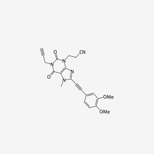 C#CCn1c(=O)c2c(nc(C#Cc3ccc(OC)c(OC)c3)n2C)n(CCC#N)c1=O